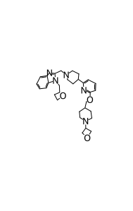 c1cc(OCC2CCN(C3COC3)CC2)nc(C2CCN(Cc3nc4ccccc4n3CC3CCO3)CC2)c1